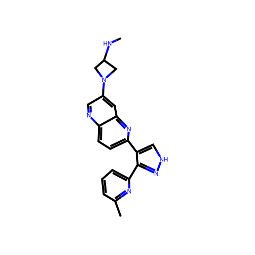 CNC1CN(c2cnc3ccc(-c4c[nH]nc4-c4cccc(C)n4)nc3c2)C1